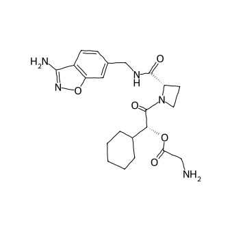 NCC(=O)O[C@@H](C(=O)N1CC[C@H]1C(=O)NCc1ccc2c(N)noc2c1)C1CCCCC1